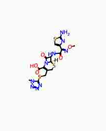 CO/N=C(/C(=O)NC1C(=O)N2C(C(=O)O)=C(CSc3nnnn3C)CS[C@H]12)c1csc(N)n1